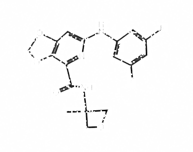 CC1(NC(=O)c2nc(Nc3cc(F)cc(F)c3)cc3c2OCO3)COC1